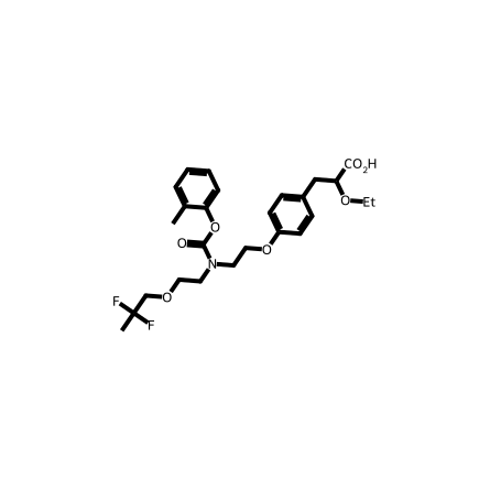 CCOC(Cc1ccc(OCCN(CCOCC(C)(F)F)C(=O)Oc2ccccc2C)cc1)C(=O)O